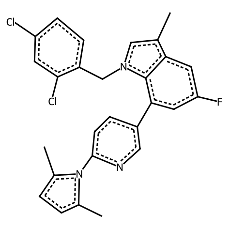 Cc1cn(Cc2ccc(Cl)cc2Cl)c2c(-c3ccc(-n4c(C)ccc4C)nc3)cc(F)cc12